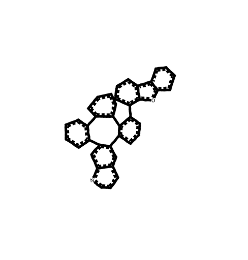 c1ccc2c(c1)-c1cc3ncccc3cc1-c1cccc(-c3cccc4c3oc3ccccc34)c1-c1ccccc1-2